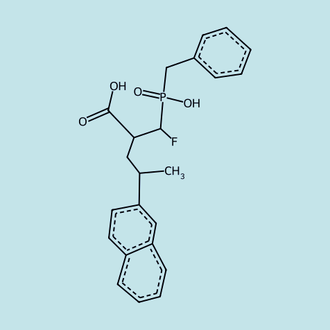 CC(CC(C(=O)O)C(F)P(=O)(O)Cc1ccccc1)c1ccc2ccccc2c1